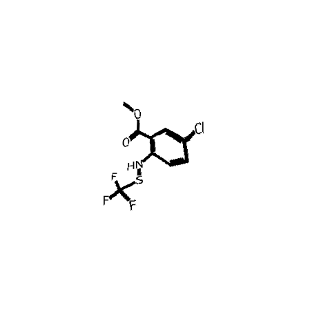 COC(=O)c1cc(Cl)ccc1NSC(F)(F)F